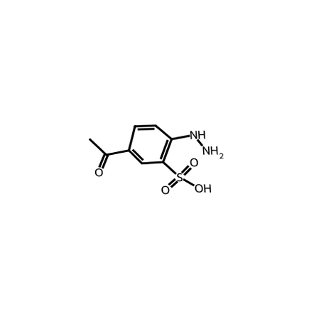 CC(=O)c1ccc(NN)c(S(=O)(=O)O)c1